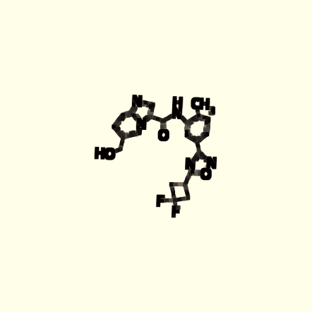 Cc1ccc(-c2noc(C3CC(F)(F)C3)n2)cc1NC(=O)c1cnc2ccc(CO)cn12